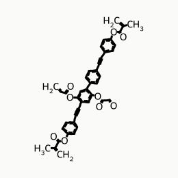 C=CC(=O)Oc1cc(-c2ccc(C#Cc3ccc(OC(=O)C(=C)C)cc3)cc2)c(OC(=O)C=O)cc1C#Cc1ccc(OC(=O)C(=C)C)cc1